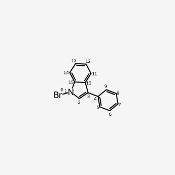 Brn1cc(-c2ccccc2)c2ccccc21